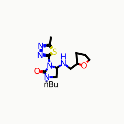 CCCCN1CC(NCC2CCCO2)N(c2nnc(C)s2)C1=O